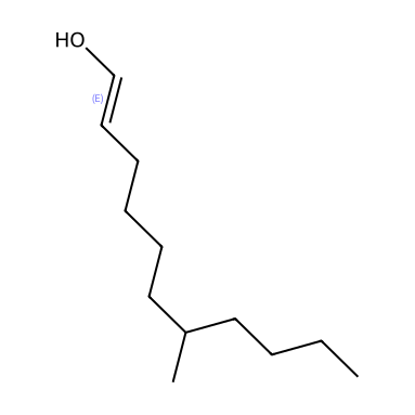 CCCCC(C)CCCC/C=C/O